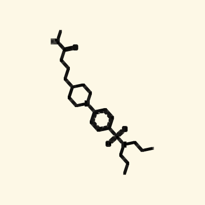 CCCN(CCC)S(=O)(=O)c1ccc(N2CCC(CCCC(=O)NC)CC2)cc1